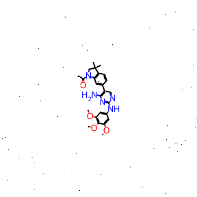 COc1cc(Nc2ncc(-c3ccc4c(c3)N(C(C)=O)CC4(C)C)c(N)n2)cc(OC)c1OC